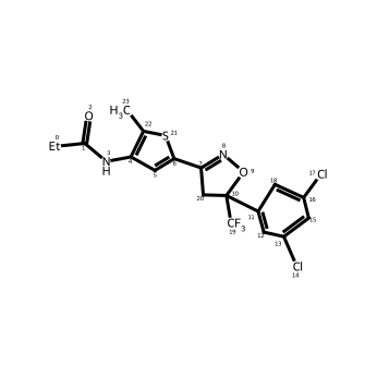 CCC(=O)Nc1cc(C2=NOC(c3cc(Cl)cc(Cl)c3)(C(F)(F)F)C2)sc1C